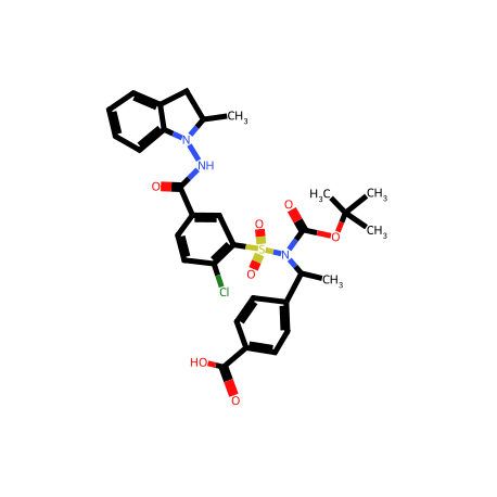 CC1Cc2ccccc2N1NC(=O)c1ccc(Cl)c(S(=O)(=O)N(C(=O)OC(C)(C)C)C(C)c2ccc(C(=O)O)cc2)c1